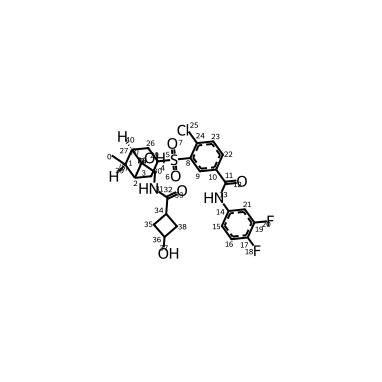 C[C@H]1C2CC(S(=O)(=O)c3cc(C(=O)Nc4ccc(F)c(F)c4)ccc3Cl)C[C@H]1[C@@]2(O)CNC(=O)C1CC(O)C1